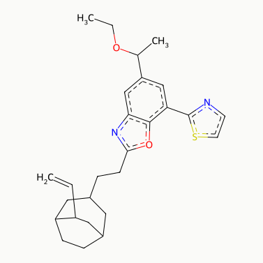 C=CC1CC2CCC1CC(CCc1nc3cc(C(C)OCC)cc(-c4nccs4)c3o1)C2